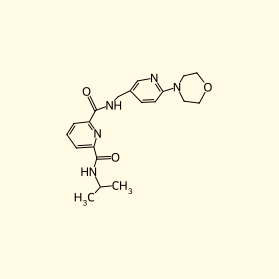 CC(C)NC(=O)c1cccc(C(=O)NCc2ccc(N3CCOCC3)nc2)n1